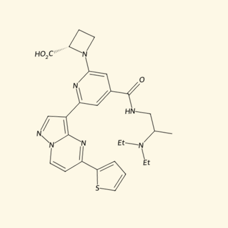 CCN(CC)C(C)CNC(=O)c1cc(-c2cnn3ccc(-c4cccs4)nc23)nc(N2CC[C@H]2C(=O)O)c1